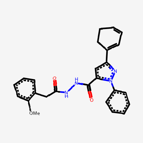 COc1ccccc1CC(=O)NNC(=O)c1cc(C2=CC=CCC2)nn1-c1ccccc1